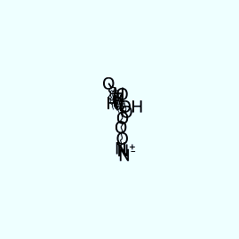 C[C@]12C=CC(=O)C=C1CC[C@@H]1[C@@H]2C(=O)C[C@@]2(C)[C@H]1CC[C@]2(O)C(=O)COCCOCCOCCN=[N+]=[N-]